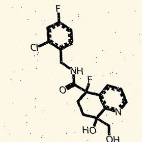 O=C(NCc1ccc(F)cc1Cl)C1(F)CCC(O)(CO)c2ncccc21